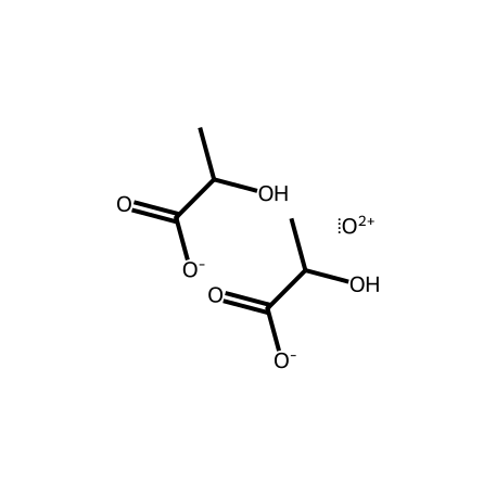 CC(O)C(=O)[O-].CC(O)C(=O)[O-].[O+2]